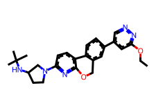 CCOc1cc(-c2ccc3c(c2)COc2nc(N4CCC(NC(C)(C)C)C4)ccc2-3)cnn1